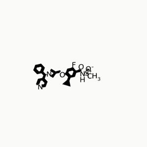 C[S+]([O-])NC(=O)c1cc(C2CC2)c(OCC2CN([C@@H](c3ccccc3)c3ccncc3)C2)cc1F